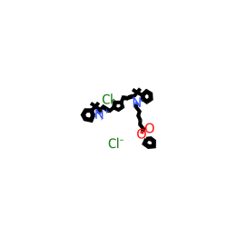 C[N+]1=C(/C=C/C2=C(Cl)C(C=C=C3N(CCCCCC(=O)Oc4ccccc4)c4ccccc4C3(C)C)CC2)C(C)(C)c2ccccc21.[Cl-]